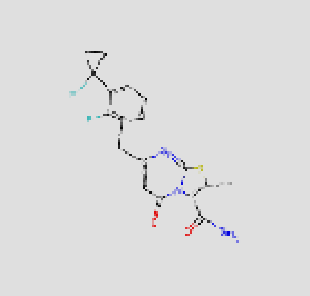 Cc1sc2nc(Cc3cccc(C4(F)CC4)c3F)cc(=O)n2c1C(N)=O